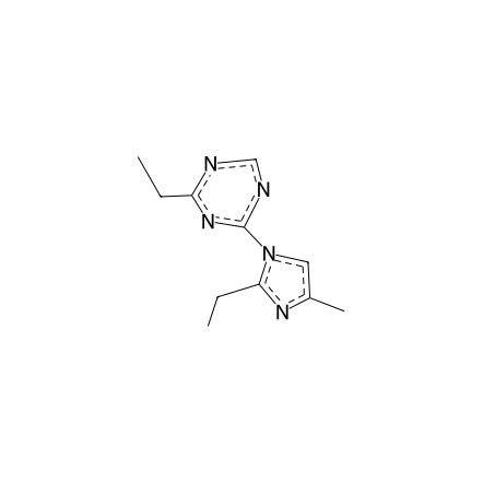 CCc1ncnc(-n2cc(C)nc2CC)n1